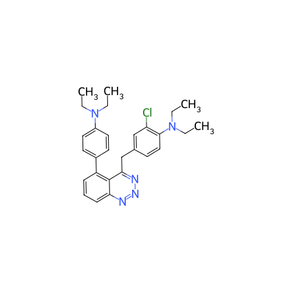 CCN(CC)c1ccc(-c2cccc3nnnc(Cc4ccc(N(CC)CC)c(Cl)c4)c23)cc1